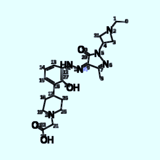 CCN1CC(N2N=C(C)/C(=N/Nc3cccc(C4CCN(CC(=O)O)CC4)c3O)C2=O)C1